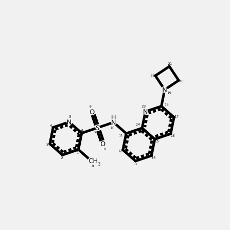 Cc1cccnc1S(=O)(=O)Nc1cccc2ccc(N3CCC3)nc12